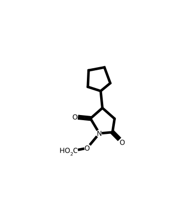 O=C(O)ON1C(=O)CC(C2CCCC2)C1=O